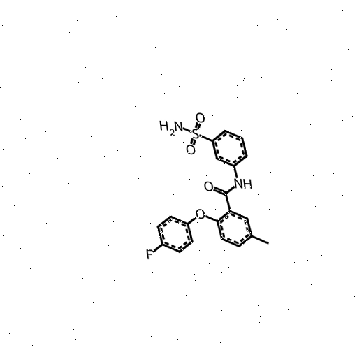 Cc1ccc(Oc2ccc(F)cc2)c(C(=O)Nc2cccc(S(N)(=O)=O)c2)c1